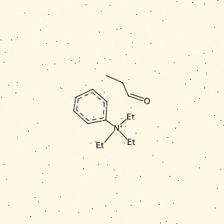 CCC=O.CC[N+](CC)(CC)c1ccccc1